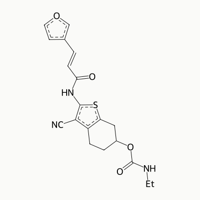 CCNC(=O)OC1CCc2c(sc(NC(=O)C=Cc3ccoc3)c2C#N)C1